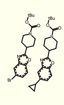 CC(C)(C)OC(=O)N1CCC(c2nc3cc(Br)ccc3o2)CC1.CC(C)(C)OC(=O)N1CCC(c2nc3cc(C4CC4)ccc3o2)CC1